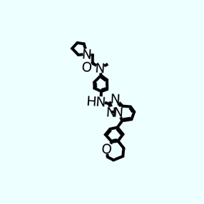 CN(C(=O)CN1CCCC1)c1ccc(Nc2nc3cccc(-c4ccc5c(c4)CCCCO5)n3n2)cc1